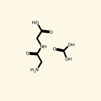 NCC(=O)NCC(=O)O.O=C(O)O